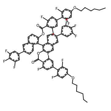 CCCCCCOc1cc(F)c(-c2cc(F)c(C(=O)Oc3ccc4cc(-c5cc(F)c(F)c(F)c5)ccc4c3-c3c(OC(=O)c4c(F)cc(-c5c(F)cc(OCCCCCC)cc5F)cc4F)ccc4cc(-c5cc(F)c(F)c(F)c5)ccc34)c(F)c2)c(F)c1